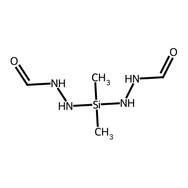 C[Si](C)(NNC=O)NNC=O